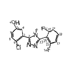 Cn1c(-c2cc(O)ccc2Cl)nnc1-c1c(F)cccc1F